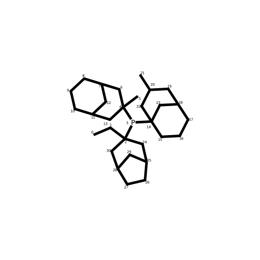 CCC1(P(C2(C)CC3CCCC(C3)C2)C23CCCC(CC(C)C2)C3)CC2CCC(C2)C1